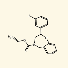 C=COC(=O)N1Cc2ccccc2OC(c2cccc(F)c2)C1